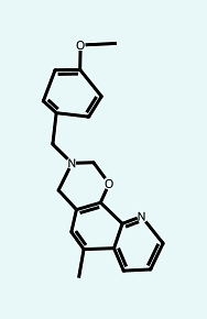 COc1ccc(CN2COc3c(cc(C)c4cccnc34)C2)cc1